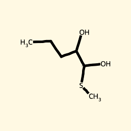 CCCC(O)[C](O)SC